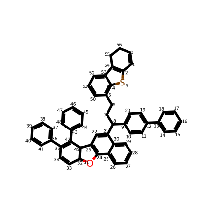 C1=Cc2sc3c(CCC(c4ccc(-c5ccccc5)cc4)c4cc5c(c6ccccc46)OC4C=CC(c6ccccc6)=C(c6ccccc6)C54)cccc3c2CC1